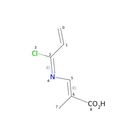 C=C/C(Cl)=N\C=C(/C)C(=O)O